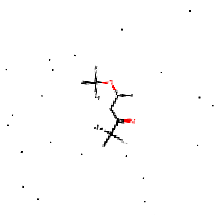 CCC(C)(CC)OC(C)CC(=O)C(C)(CC)CC